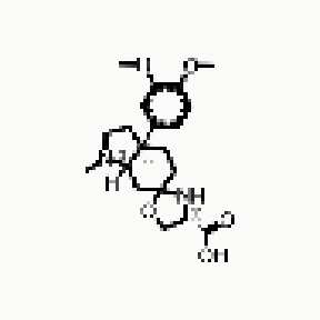 COc1ccc([C@]23CCN(C)[C@H]2CC2(CC3)N[C@H](C(=O)O)CO2)cc1OC